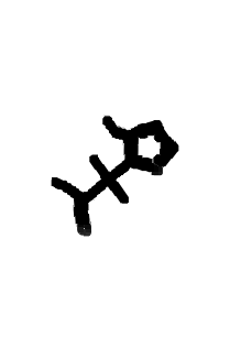 CC(=O)C(C)(C)c1sccc1C